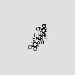 N=C(NC(=N)Nc1ccc(Cl)c(Cl)c1)Nc1ccc(Cl)c(Cl)c1